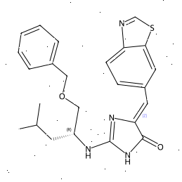 CC(C)C[C@H](COCc1ccccc1)NC1=N/C(=C\c2ccc3ncsc3c2)C(=O)N1